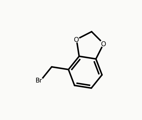 BrCc1cccc2c1OCO2